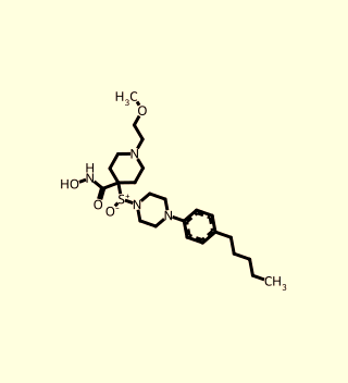 CCCCCc1ccc(N2CCN([S+]([O-])C3(C(=O)NO)CCN(CCOC)CC3)CC2)cc1